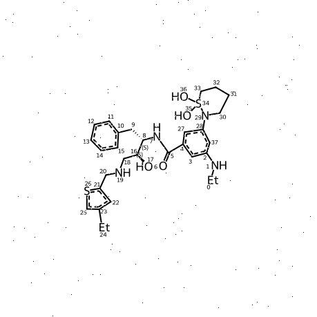 CCNc1cc(C(=O)N[C@@H](Cc2ccccc2)[C@@H](O)CNCc2cc(CC)cs2)cc(N2CCCCS2(O)O)c1